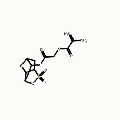 C=C(C)C(=O)SCC(=O)OC1C2CC3C(O2)C1OS3(=O)=O